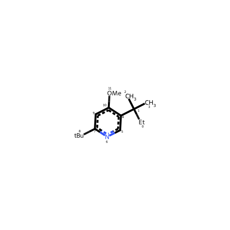 CCC(C)(C)c1cnc(C(C)(C)C)cc1OC